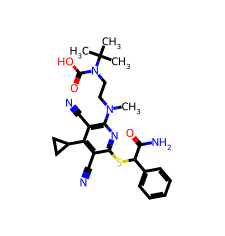 CN(CCN(C(=O)O)C(C)(C)C)c1nc(SC(C(N)=O)c2ccccc2)c(C#N)c(C2CC2)c1C#N